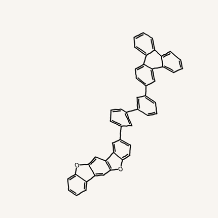 c1cc(-c2cccc(-c3ccc4c5ccccc5c5ccccc5c4c3)c2)cc(-c2ccc3oc4cc5c(cc4c3c2)oc2ccccc25)c1